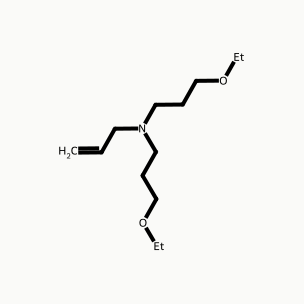 C=CCN(CCCOCC)CCCOCC